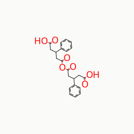 O=C(O)CC(CC(=O)OC(=O)CC(CC(=O)O)c1ccccc1)c1ccccc1